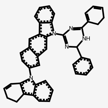 C1=CCCC(C2=NC(n3c4ccccc4c4cc5ccc(-n6c7c(c8ccccc86)CCC=C7)cc5cc43)=NC(c3ccccc3)N2)=C1